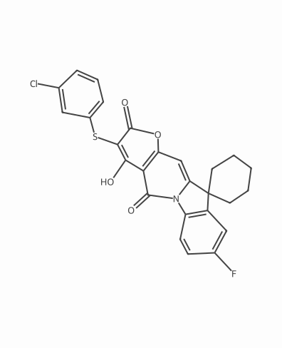 O=c1oc2cc3n(c(=O)c2c(O)c1Sc1cccc(Cl)c1)-c1ccc(F)cc1C31CCCCC1